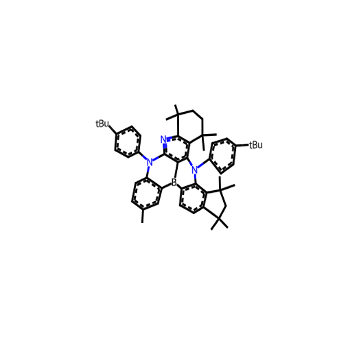 Cc1ccc2c(c1)B1c3ccc4c(c3N(c3ccc(C(C)(C)C)cc3)c3c1c(nc1c3C(C)(C)CCC1(C)C)N2c1ccc(C(C)(C)C)cc1)C(C)(C)CC4(C)C